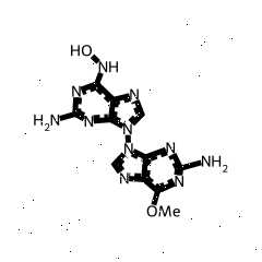 COc1nc(N)nc2c1ncn2-n1cnc2c(NO)nc(N)nc21